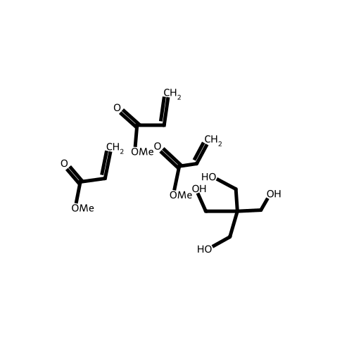 C=CC(=O)OC.C=CC(=O)OC.C=CC(=O)OC.OCC(CO)(CO)CO